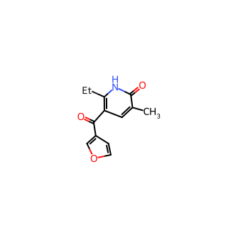 CCc1[nH]c(=O)c(C)cc1C(=O)c1ccoc1